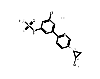 CS(=O)(=O)Nc1cc(Cl)cc(-c2ccc([C@@H]3C[C@H]3N)cn2)c1.Cl